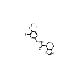 O=C(NCc1ccc(OC(F)(F)F)c(F)c1)C1CCCc2ncsc21